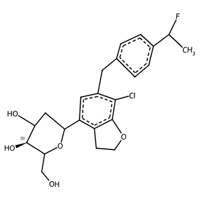 CC(F)c1ccc(Cc2cc(C3CC(O)[C@H](O)C(CO)O3)c3c(c2Cl)OCC3)cc1